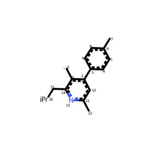 [CH2]c1c(-c2ccc(C)cc2)cc(C)nc1CC(C)C